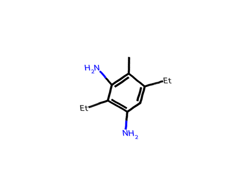 CCc1cc(N)c(CC)c(N)c1C